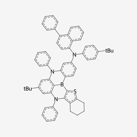 CC(C)(C)c1ccc(N(c2ccc3c(c2)N(c2ccccc2)c2cc(C(C)(C)C)cc4c2B3c2sc3c(c2N4c2ccccc2)CCCC3)c2ccc(-c3ccccc3)c3ccccc23)cc1